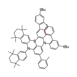 Cc1ccccc1-c1cc2c3c(c1)N(c1ccc(C(C)(C)C)cc1-c1ccccc1)c1cc4sc5cc(C(C)(C)C)ccc5c4cc1B3c1cc3c(cc1N2c1ccc2c(c1)C(C)(C)CCC2(C)C)C(C)(C)CCC3(C)C